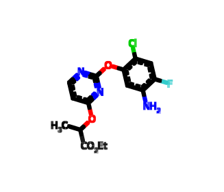 CCOC(=O)C(C)Oc1ccnc(Oc2cc(N)c(F)cc2Cl)n1